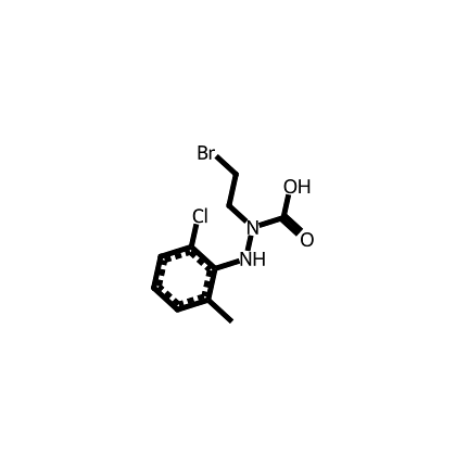 Cc1cccc(Cl)c1NN(CCBr)C(=O)O